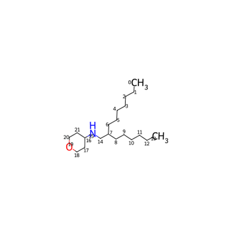 CCCCCCCC(CCCCCC)CNC1CCOCC1